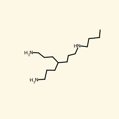 CCCCNCCCC(CCCN)CCCN